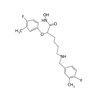 Cc1cc(CNCCCCC(Oc2ccc(F)c(C)c2)C(=O)NO)ccc1F